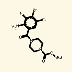 CC(C)(C)OC(=O)N1CCN(C(=O)c2cc(Cl)c(Br)c(F)c2N)CC1